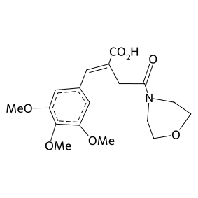 COc1cc(C=C(CC(=O)N2CCOCC2)C(=O)O)cc(OC)c1OC